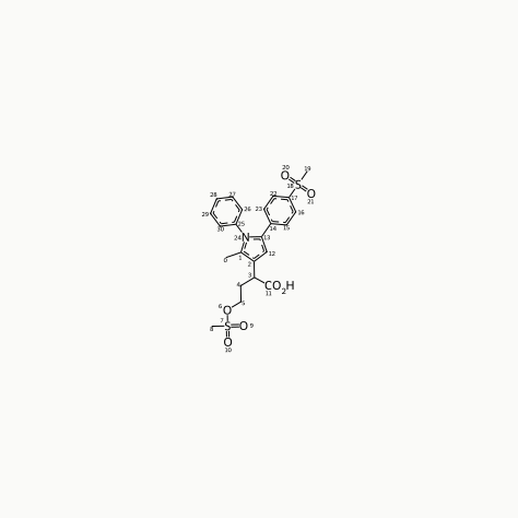 Cc1c(C(CCOS(C)(=O)=O)C(=O)O)cc(-c2ccc(S(C)(=O)=O)cc2)n1-c1ccccc1